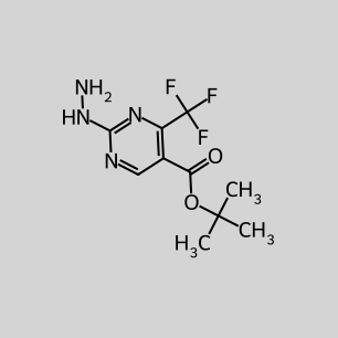 CC(C)(C)OC(=O)c1cnc(NN)nc1C(F)(F)F